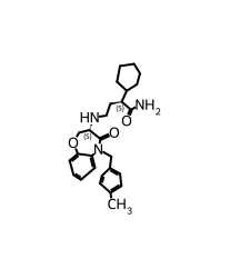 Cc1ccc(CN2C(=O)[C@@H](NCC[C@H](C(N)=O)C3CCCCC3)COc3ccccc32)cc1